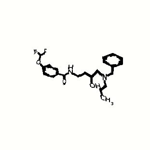 CCCN(Cc1ccccc1)CC(O)CCNC(=O)c1ccc(OC(F)F)cc1